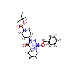 CC(C)(C)OC(=O)N1CCC(NC(=O)[C@@H]2CCCCN2NOCc2ccccc2)CC1